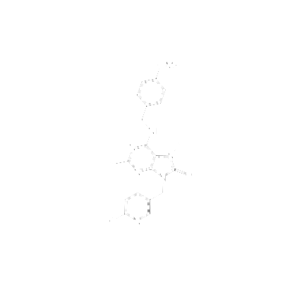 CCCc1nc(NCc2ccc(OC)cc2)c2c(n1)n(Cc1ccc(C)nc1)c(=O)n2S